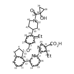 CCc1cc(O[C@H]2CCc3cccc(-c4cccc(-n5ncc(C(=O)O)c5CC)n4)c32)ccc1C1CCN(C(=O)C2(O)CC2)CC1